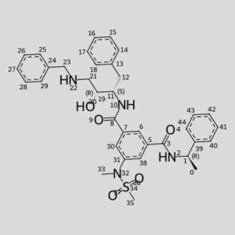 C[C@@H](NC(=O)c1cc(C(=O)N[C@@H](Cc2ccccc2)[C@H](O)CNCc2ccccc2)cc(N(C)S(C)(=O)=O)c1)c1ccccc1